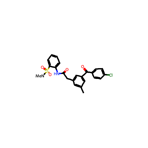 CNS(=O)(=O)c1ccccc1NC(=O)Cc1cc(C)cc(C(=O)c2ccc(Cl)cc2)c1